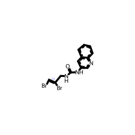 O=C(NC/C(Br)=C/Br)Nc1cnc2ccccc2c1